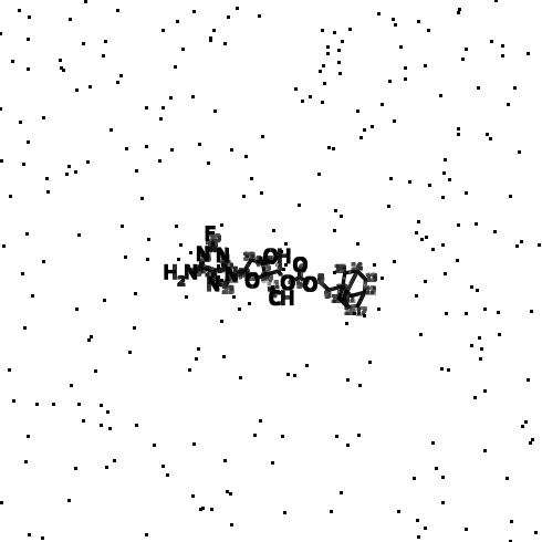 C#C[C@]1(COC(=O)OCCC23CC4CC(CC(C4)C2)C3)O[C@@H](n2cnc3c(N)nc(F)nc32)C[C@@H]1O